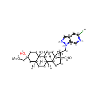 COC[C@@]1(O)CC[C@@]2(C)[C@@H](CC[C@@H]3[C@@H]2CC[C@@]2(C)[C@H]3CC[C@@]2(C=O)CCn2ncc3cc(F)ncc32)C1